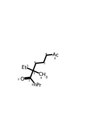 [CH2]CCC(=O)C(C)(CC)CCCC(C)=O